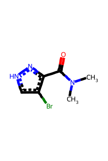 CN(C)C(=O)c1n[nH]cc1Br